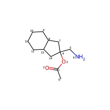 CC(=O)OC1(CN)CC2CCCCC2C1